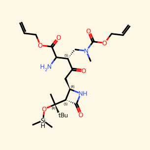 C=CCOC(=O)C(N)[C@H](CN(C)C(=O)OCC=C)C(=O)C[C@H]1NC(=O)[C@@H]1[C@@](C)(O[SiH](C)C)C(C)(C)C